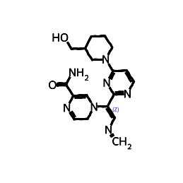 C=N/C=C(/c1nccc(N2CCCC(CO)C2)n1)N1C=C(C(N)=O)N=CC1